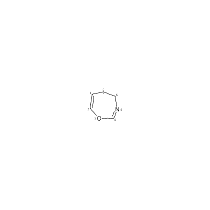 [CH]1C=COC=NC1